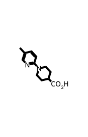 Cc1ccc(N2CCC(C(=O)O)CC2)nc1